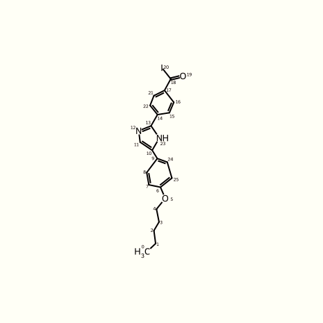 CCCCCOc1ccc(-c2cnc(-c3ccc(C(=O)I)cc3)[nH]2)cc1